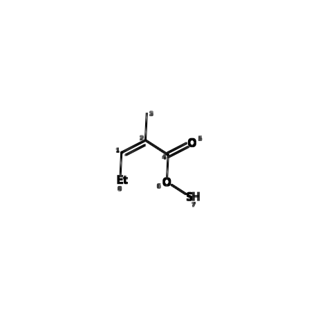 CCC=C(C)C(=O)OS